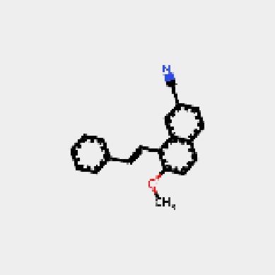 COc1ccc2ccc(C#N)cc2c1C=Cc1ccccc1